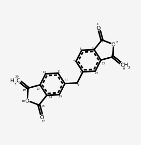 C=C1OC(=O)c2ccc(Cc3ccc4c(c3)C(=O)OC4=C)cc21